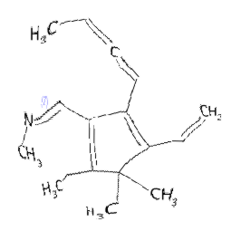 C=CC1=C(C=C=CC)C(/C=N\C)=C(C)C1(C)C